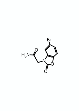 NC(=O)Cn1c(=O)oc2ccc(Br)cc21